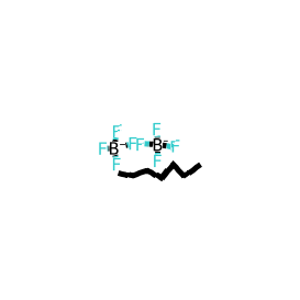 CCCCCCC.F[B-](F)(F)F.F[B-](F)(F)F